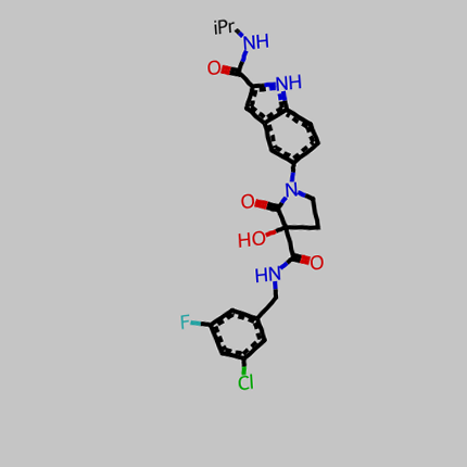 CC(C)NC(=O)c1cc2cc(N3CCC(O)(C(=O)NCc4cc(F)cc(Cl)c4)C3=O)ccc2[nH]1